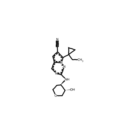 CCC1(c2c(C#N)cc3cnc(N[C@@H]4CCOC[C@H]4O)nn23)CC1